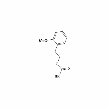 COc1ccccc1CCOC(=S)C(C)(C)C